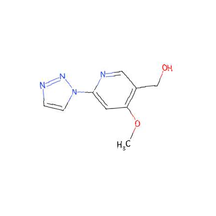 COc1cc(-n2ccnn2)ncc1CO